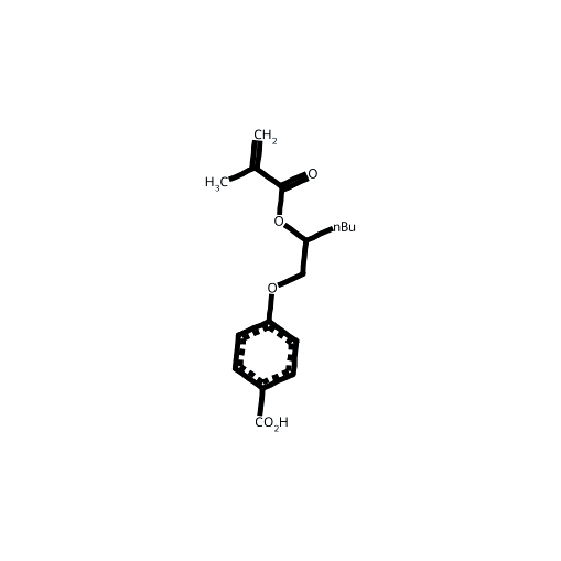 C=C(C)C(=O)OC(CCCC)COc1ccc(C(=O)O)cc1